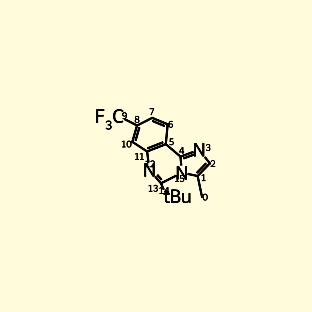 Cc1cnc2c3ccc(C(F)(F)F)cc3nc(C(C)(C)C)n12